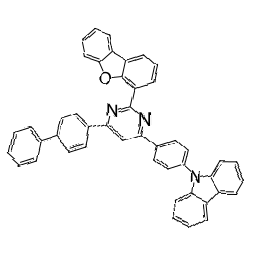 c1ccc(-c2ccc(-c3cc(-c4ccc(-n5c6ccccc6c6ccccc65)cc4)nc(-c4cccc5c4oc4ccccc45)n3)cc2)cc1